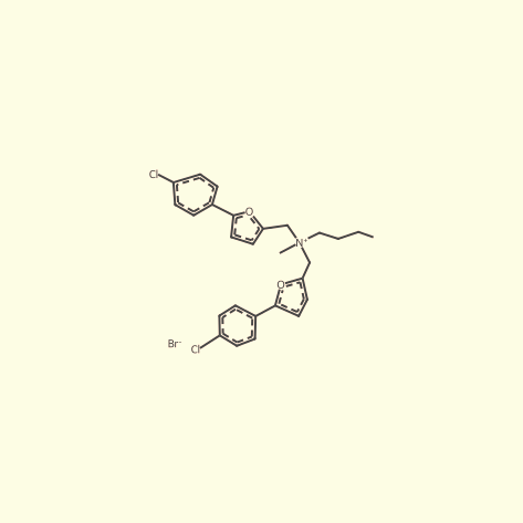 CCCC[N+](C)(Cc1ccc(-c2ccc(Cl)cc2)o1)Cc1ccc(-c2ccc(Cl)cc2)o1.[Br-]